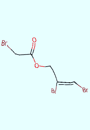 O=C(CBr)OCC(Br)=CBr